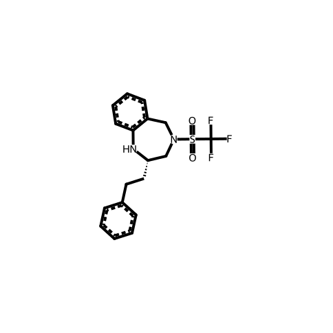 O=S(=O)(N1Cc2ccccc2N[C@@H](CCc2ccccc2)C1)C(F)(F)F